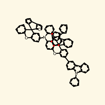 c1ccc(-c2ccccc2-c2ccccc2N(c2ccc3c(c2)C2(c4ccccc4O3)c3ccccc3-c3ccccc32)c2ccc3c(c2)C2(c4ccc(-c5ccc6c(c5)c5ccccc5n6-c5ccccc5)cc4O3)c3ccccc3-c3ccccc32)cc1